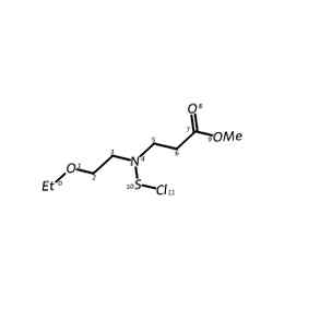 CCOCCN(CCC(=O)OC)SCl